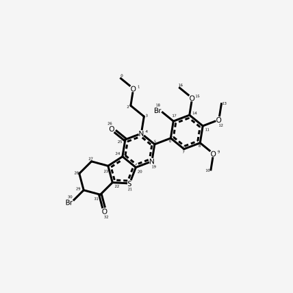 COCCn1c(-c2cc(OC)c(OC)c(OC)c2Br)nc2sc3c(c2c1=O)CCC(Br)C3=O